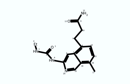 CCNC(=O)Nc1cc2c(CCC(N)=O)ccc(C)c2cn1